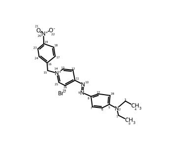 CCN(CC)c1ccc(N=Nc2cc[n+](Cc3ccc([N+](=O)[O-])cc3)cc2)cc1.[Br-]